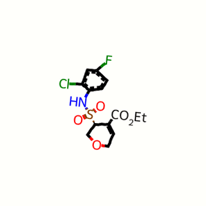 CCOC(=O)C1=CCOC[C@@H]1S(=O)(=O)Nc1ccc(F)cc1Cl